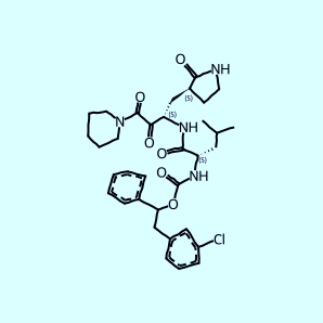 CC(C)C[C@H](NC(=O)OC(Cc1cccc(Cl)c1)c1ccccc1)C(=O)N[C@@H](C[C@@H]1CCNC1=O)C(=O)C(=O)N1CCCCC1